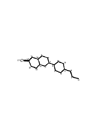 CCCC1CCC(C2CCC3CC(=O)CCC3C2)CC1